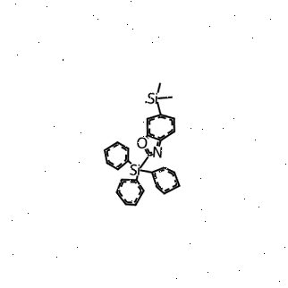 C[Si](C)(C)c1ccc2nc([Si](c3ccccc3)(c3ccccc3)c3ccccc3)oc2c1